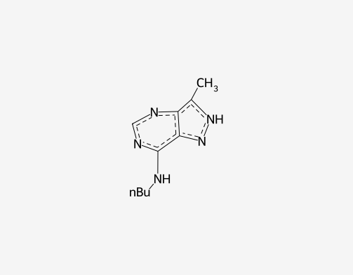 CCCCNc1ncnc2c(C)[nH]nc12